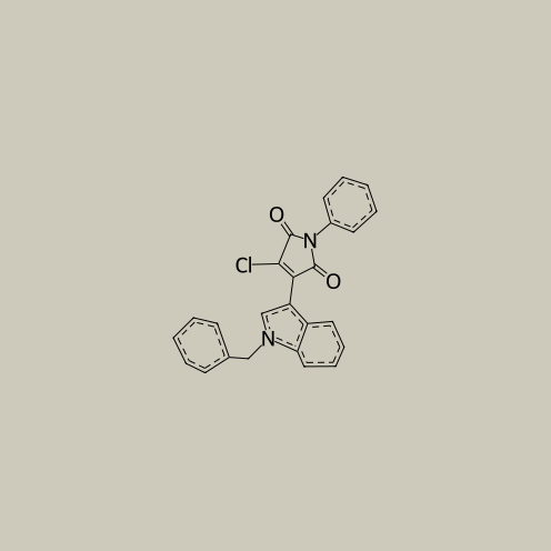 O=C1C(Cl)=C(c2cn(Cc3ccccc3)c3ccccc23)C(=O)N1c1ccccc1